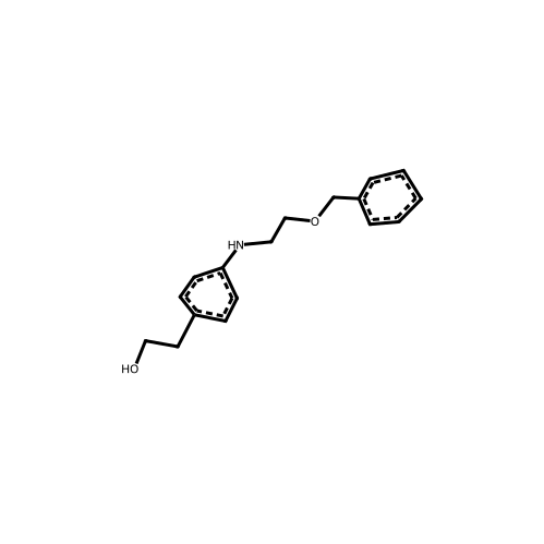 OCCc1ccc(NCCOCc2ccccc2)cc1